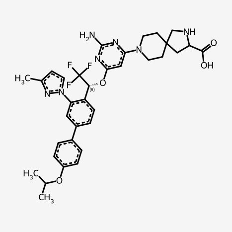 Cc1ccn(-c2cc(-c3ccc(OC(C)C)cc3)ccc2[C@@H](Oc2cc(N3CCC4(CC3)CNC(C(=O)O)C4)nc(N)n2)C(F)(F)F)n1